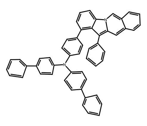 c1ccc(-c2ccc(N(c3ccc(-c4ccccc4)cc3)c3ccc(-c4cccc5c4c(-c4ccccc4)c4cc6ccccc6cn45)cc3)cc2)cc1